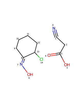 N#CCC(=O)O.O/N=C1/CCCCC1Cl